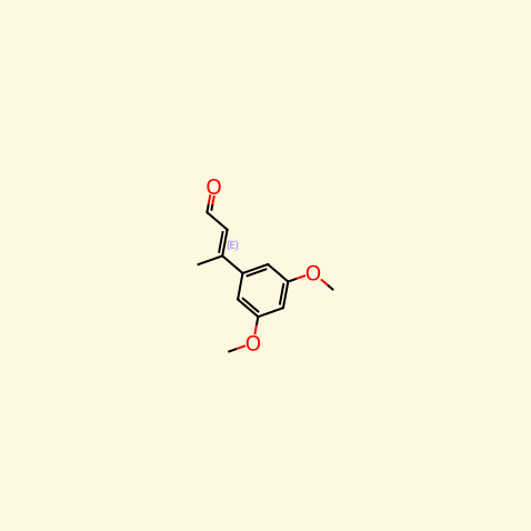 COc1cc(OC)cc(/C(C)=C/C=O)c1